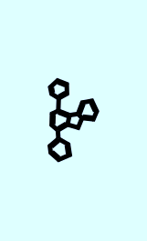 c1ccc(-c2ccc(-c3ccccc3)c3c2Cc2ccccc2-3)cc1